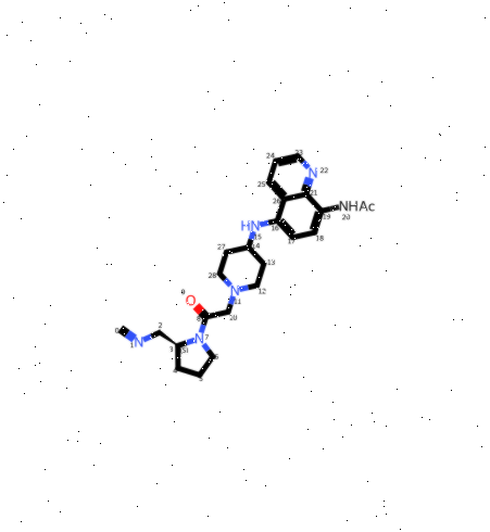 C=NC[C@@H]1CCCN1C(=O)CN1CCC(Nc2ccc(NC(C)=O)c3ncccc23)CC1